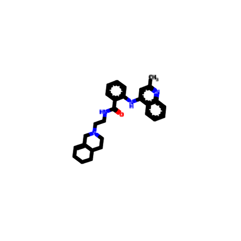 Cc1cc(Nc2ccccc2C(=O)NCCN2CCC3CCCC=C3C2)c2ccccc2n1